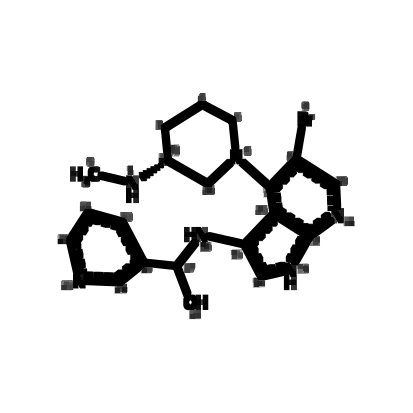 CN[C@@H]1CCCN(c2c(Br)cnc3[nH]cc(NC(O)c4cccnc4)c23)C1